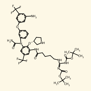 CC(C)(C)OC(=O)N=C(NCCCCC(=O)Nc1cc(C(F)(F)F)cc(N(C(N)=O)c2cccc(Oc3cc(N)cc(C(F)(F)F)c3)c2)c1O[C@@H]1CCNC1)NC(=O)OC(C)(C)C